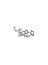 Cc1ccnc([C@H](C)O)c1-c1ccc2cc(NC(=O)C3CC3F)ncc2c1